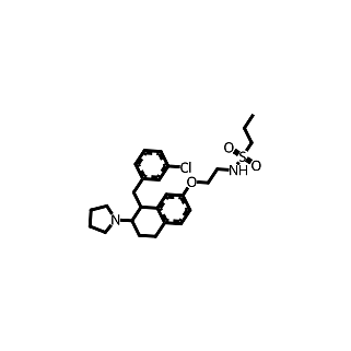 CCCS(=O)(=O)NCCOc1ccc2c(c1)C(Cc1cccc(Cl)c1)C(N1CCCC1)CC2